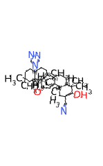 CC1(C)CC[C@]2(n3cnnc3)CC[C@]3(C)[C@H](C(=O)C=C4[C@@]5(C)CC(C#N)=C(O)C(C)(C)[C@@H]5CC[C@]43C)[C@@H]2C1